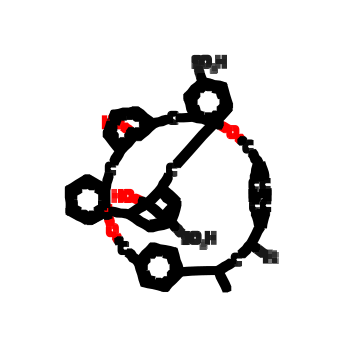 CCC1CC(C)c2ccc(cc2)COc2c3cccc2CC2C=C(S(=O)(=O)O)C4=C(Cc5cc(S(=O)(=O)O)cc(c5OCc5ccc1cc5)Cc1cccc(c1O)C3)C2(O)C4